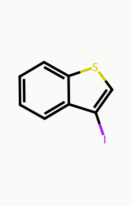 Ic1csc2ccccc12